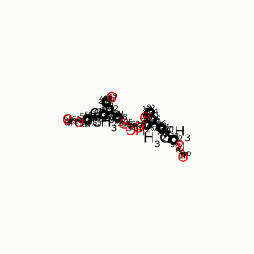 CC(C)(c1ccc(OC[C@@H]2CO2)cc1)c1ccc(C(Cc2cccc3c2O3)c2ccc(OCC(O)COc3ccc(C(Cc4cccc5c4O5)c4ccc(C(C)(C)c5ccc(OC[C@@H]6CO6)cc5)cc4)cc3)cc2)cc1